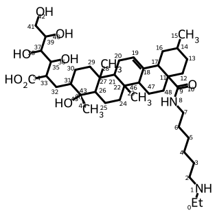 CCNCCCCCCNC(=O)C12CCC(C)CC1C1=CCC3C(C)(CCC4C3(C)CCC(CC(C(=O)O)C(O)C(O)C(O)CO)[C@@]4(C)O)C1CC2